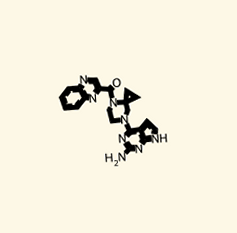 Nc1nc(N2CCN(C(=O)c3cnc4ccccc4n3)C3(CC3)C2)c2cc[nH]c2n1